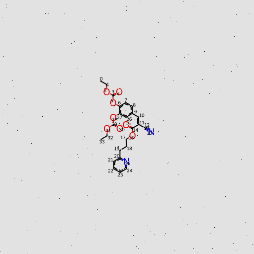 CCOC(=O)Oc1ccc(C=C(C#N)C(=O)OCCCc2ccccn2)cc1OC(=O)OCC